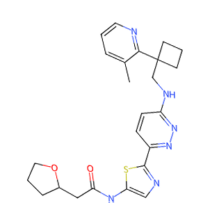 Cc1cccnc1C1(CNc2ccc(-c3ncc(NC(=O)CC4CCCO4)s3)nn2)CCC1